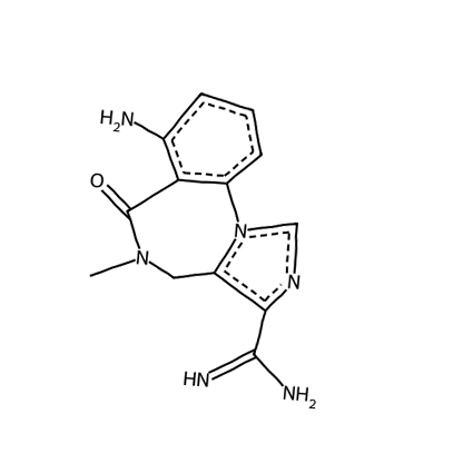 CN1Cc2c(C(=N)N)ncn2-c2cccc(N)c2C1=O